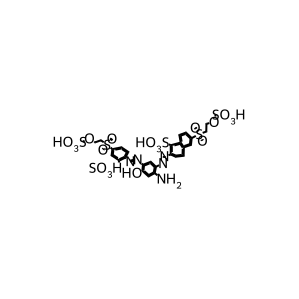 Nc1cc(O)c(/N=N/c2ccc(S(=O)(=O)CCOS(=O)(=O)O)cc2S(=O)(=O)O)cc1/N=N/c1ccc2cc(S(=O)(=O)CCOS(=O)(=O)O)ccc2c1S(=O)(=O)O